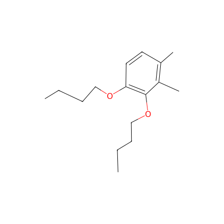 CCCCOc1ccc(C)c(C)c1OCCCC